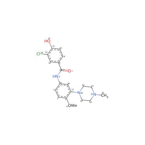 COc1ccc(NC(=O)c2ccc(O)c(Cl)c2)cc1N1CCN(C)CC1